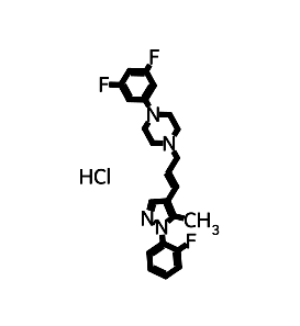 Cc1c(C=CCN2CCN(c3cc(F)cc(F)c3)CC2)cnn1-c1ccccc1F.Cl